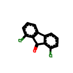 O=C1c2c(Cl)cccc2-c2cccc(Cl)c21